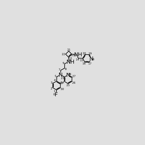 Fc1ccc(CN(CCCNC2=C(NCc3ccncc3)CC2)c2ccccn2)cc1